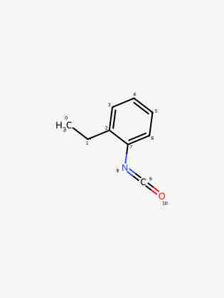 C[CH]c1ccccc1N=C=O